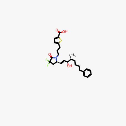 C[C@@H](CCCCc1ccccc1)[C@@H](O)C=C[C@H]1CC(F)(F)C(=O)N1CCCc1ccc(C(=O)O)s1